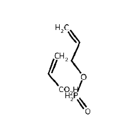 C=CC(=O)O.C=CCO[PH2]=O